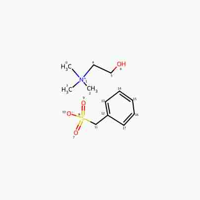 C[N+](C)(C)CCO.O=S(=O)([O-])Cc1ccccc1